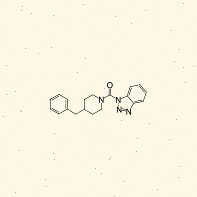 O=C(N1CCC(Cc2ccccc2)CC1)n1nnc2ccccc21